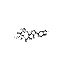 CN(C)C(=O)[C@]1(C)C[C@H](Nc2ncc3c(-c4ccc5nccn5n4)c[nH]c3n2)C1